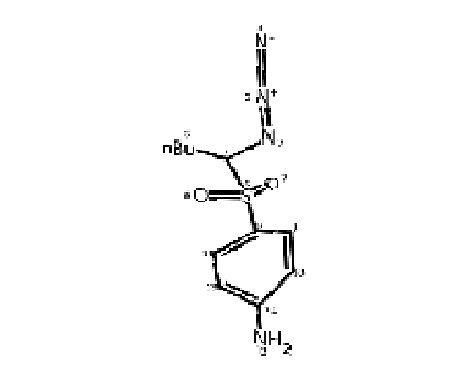 CCCCC(N=[N+]=[N-])S(=O)(=O)c1ccc(N)cc1